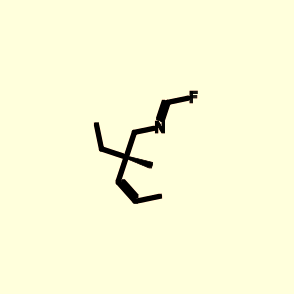 C/C=C\[C@](C)(CC)C/N=C/F